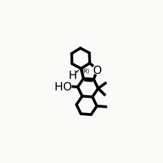 CC1CCCC2C(O)C3=C(OC4CCCC[C@H]34)C(C)(C)C12